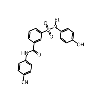 CCN(c1ccc(O)cc1)S(=O)(=O)c1cccc(C(=O)Nc2ccc(C#N)cc2)c1